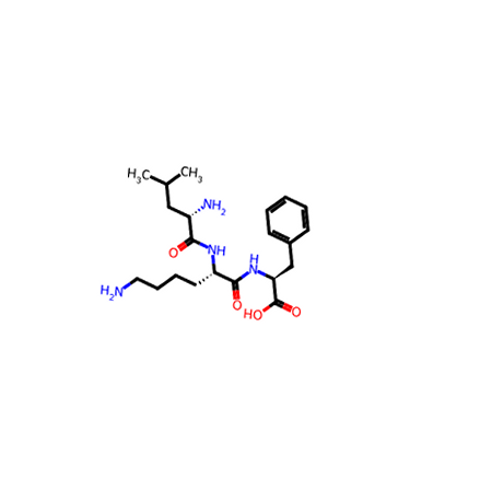 CC(C)C[C@H](N)C(=O)N[C@@H](CCCCN)C(=O)N[C@@H](Cc1ccccc1)C(=O)O